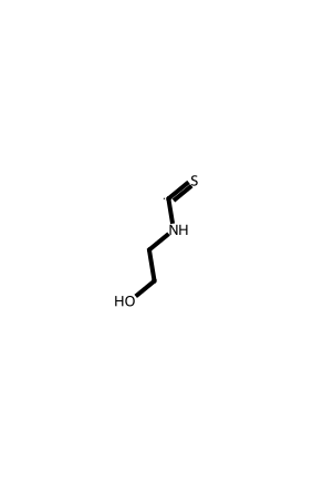 OCCN[C]=S